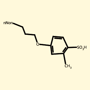 CCCCCCCCCCCCOc1ccc(S(=O)(=O)O)c(C)c1